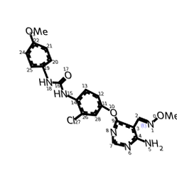 CO/N=C/c1c(N)ncnc1Oc1ccc(NC(=O)Nc2ccc(OC)cc2)c(Cl)c1